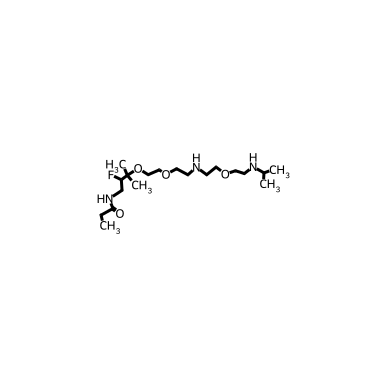 CCC(=O)NCC(F)C(C)(C)OCCOCCNCCOCCNC(C)C